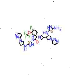 Nc1nnc(N[C@H]2CN(c3cccnn3)CC2C2CN([C@H](C(=O)Nc3nnc(N[C@@H]4CCN(c5cccnn5)C4)s3)c3ccc(F)c(OC(F)(F)F)c3)C2)s1